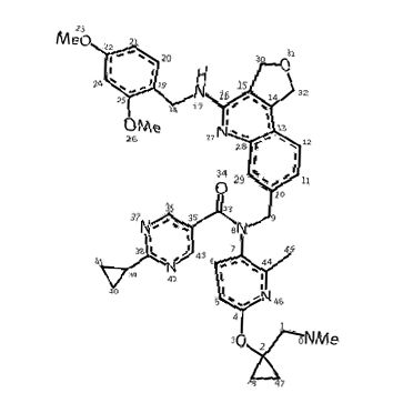 CNCC1(Oc2ccc(N(Cc3ccc4c5c(c(NCc6ccc(OC)cc6OC)nc4c3)COC5)C(=O)c3cnc(C4CC4)nc3)c(C)n2)CC1